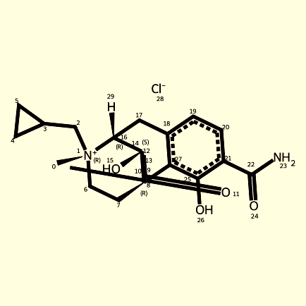 C[N@+]1(CC2CC2)CC[C@]23CC(=O)CC[C@@]2(O)[C@H]1Cc1ccc(C(N)=O)c(O)c13.[Cl-]